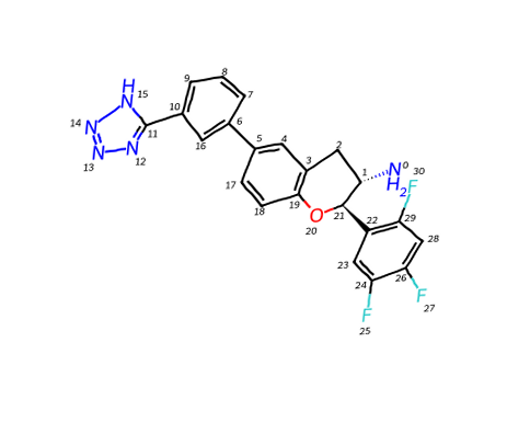 N[C@H]1Cc2cc(-c3cccc(-c4nnn[nH]4)c3)ccc2O[C@@H]1c1cc(F)c(F)cc1F